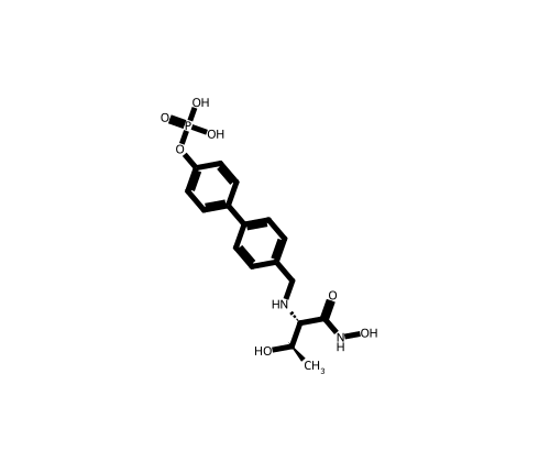 C[C@@H](O)[C@H](NCc1ccc(-c2ccc(OP(=O)(O)O)cc2)cc1)C(=O)NO